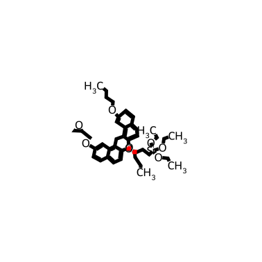 CCCCOc1ccc2ccc(OCCCC)c(Cc3c(OCCC[Si](OCC)(OCC)OCC)ccc4ccc(OCC5CO5)cc34)c2c1